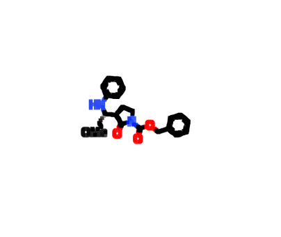 COC[C@H](Nc1ccccc1)[C@H]1CCN(C(=O)OCc2ccccc2)C1=O